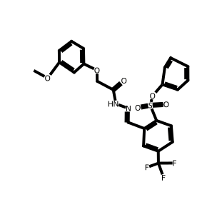 COc1cccc(OCC(=O)NN=Cc2cc(C(F)(F)F)ccc2S(=O)(=O)Oc2ccccc2)c1